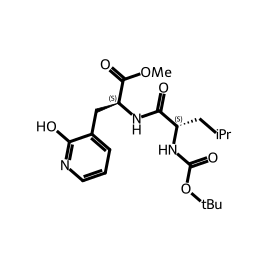 COC(=O)[C@H](Cc1cccnc1O)NC(=O)[C@H](CC(C)C)NC(=O)OC(C)(C)C